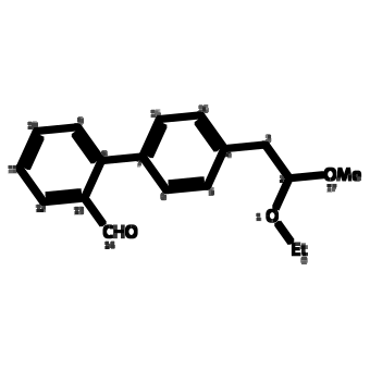 CCOC(Cc1ccc(-c2ccccc2C=O)cc1)OC